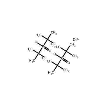 CC(C)(C)P(=O)([O-])C(C)(C)C.CC(C)(C)P(=O)([O-])C(C)(C)C.[Zn+2]